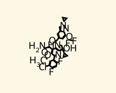 CCOc1c(CC(N)=O)cc([C@@](O)(CNC(=O)c2cc(OC(F)F)c3nn(C4CC4)cc3c2)C2CC2)nc1-c1cc(Cl)c(F)cc1F